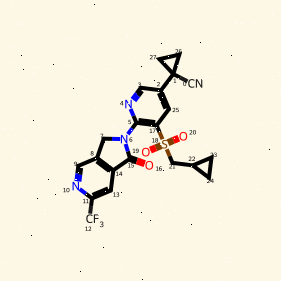 N#CC1(c2cnc(N3Cc4cnc(C(F)(F)F)cc4C3=O)c(S(=O)(=O)CC3CC3)c2)CC1